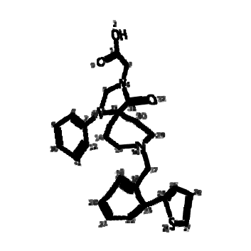 O=C(O)CN1CN(c2ccccc2)C2(CCN(Cc3ccccc3-c3cccs3)CC2)C1=O